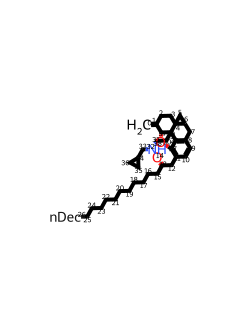 C=C1CCC23CC2Cc2ccc(CC(=O)CCCCCCCCCCCCCCCCCCCCC)c4c2C3(CCNCC2CC2)C1O4